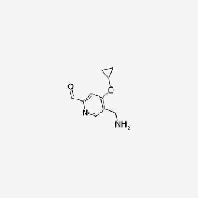 NCc1cnc(C=O)cc1OC1CC1